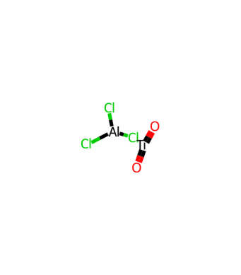 [Cl][Al]([Cl])[Cl].[O]=[Ti]=[O]